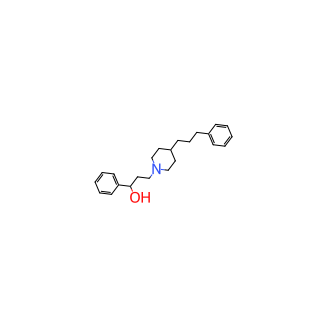 OC(CCN1CCC(CCCc2ccccc2)CC1)c1ccccc1